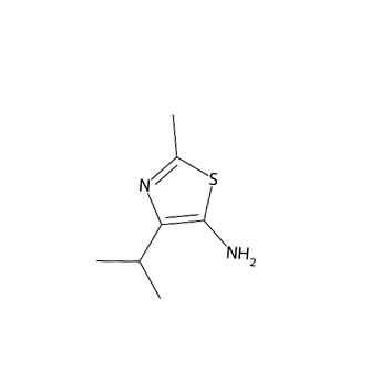 Cc1nc(C(C)C)c(N)s1